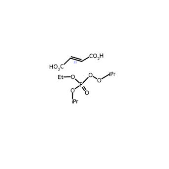 CCOP(=O)(OOC(C)C)OC(C)C.O=C(O)/C=C/C(=O)O